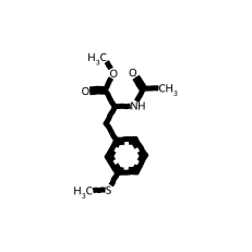 COC(=O)C(Cc1cccc(SC)c1)NC(C)=O